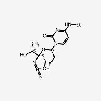 CCNc1ccn([C@@H](CF)O[C@@](CO)(N=[N+]=[N-])[C@@H](C)O)c(=O)n1